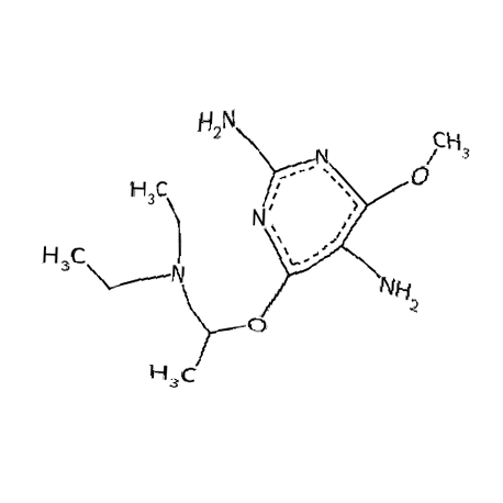 CCN(CC)C(C)Oc1nc(N)nc(OC)c1N